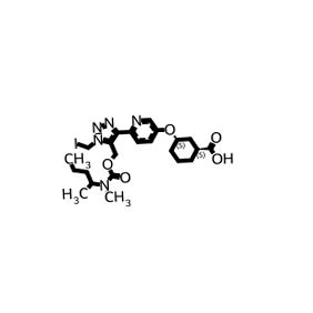 CCCC(C)N(C)C(=O)OCc1c(-c2ccc(O[C@H]3CCC[C@H](C(=O)O)C3)cn2)nnn1CI